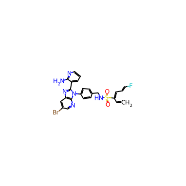 C=C/C(=C\C=C\F)S(=O)(=O)NCc1ccc(-n2c(-c3cccnc3N)nc3cc(Br)cnc32)cc1